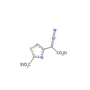 CCOC(=O)C(=[N+]=[N-])c1csc(C(=O)OCC)n1